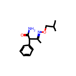 C/C(=N\OCC(C)C)C(C(N)=O)c1ccccc1